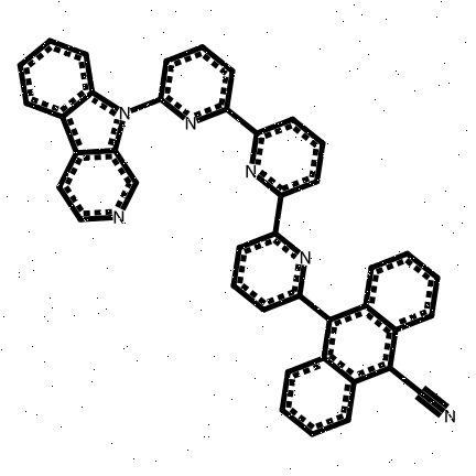 N#Cc1c2ccccc2c(-c2cccc(-c3cccc(-c4cccc(-n5c6ccccc6c6ccncc65)n4)n3)n2)c2ccccc12